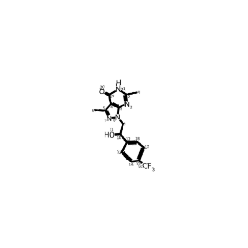 Cc1nc2c(c(C)nn2CC(O)c2ccc(C(F)(F)F)cc2)c(=O)[nH]1